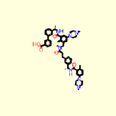 Cc1ccc(N2CCN(C)CC2)cc1C(=O)N[C@H](C)c1cccc(CCC(=O)N(C)Cc2cc(N3CCN(C)CC3)cc(C(=O)N[C@H](C)c3cccc(-c4cccc(C(=O)O)c4)c3)c2C)c1